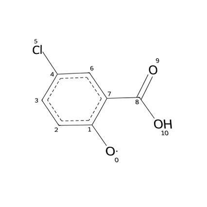 [O]c1ccc(Cl)cc1C(=O)O